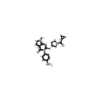 Bc1ccc(-n2c(C[C@@H]3CCN(C(=O)C4CC4)C3)nc3c(cnn3C)c2=O)cc1